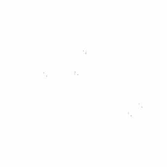 Cc1nn(C)c(C)c1-c1ccc2nc3n(c2c1)CCN(C1=CC=C1)CC3